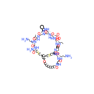 CCCC[C@@H]1NC(=O)[C@@H]2CCCN2C(=O)[C@@H]2CSCc3cc(cc(c3)OCCCCCCC(=O)NCC(=O)N[C@@H](CCCCN)C(=O)N2)CSC[C@@H](C(N)=O)NC(=O)[C@H](CCCCN)NC(=O)C(C(C)C)NC(=O)[C@H](Cc2c[nH]c3ccccc23)NC(=O)[C@H]([C@@H](C)CC)NC(=O)[C@H](CC(=O)OOC)NC1=O